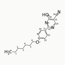 CCCCCCCOc1ccc(-c2ncc(C#N)c(O)n2)cc1